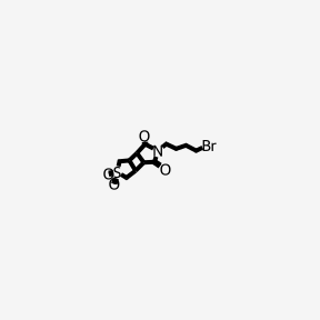 O=C1C2C3CS(=O)(=O)CC3C2C(=O)N1CCCCBr